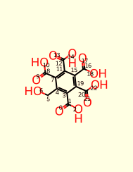 O=C(O)c1c(CO)c(C(=O)O)c(C(=O)O)c(C(=O)O)c1C(=O)O